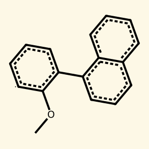 COc1[c]cccc1-c1cccc2ccccc12